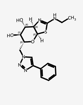 CCNC1=N[C@@H]2[C@@H](O)[C@H](O)[C@@H](Cn3cc(-c4ccccc4)nn3)O[C@@H]2S1